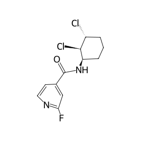 O=C(N[C@@H]1CCC[C@@H](Cl)[C@@H]1Cl)c1ccnc(F)c1